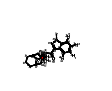 [2H]c1c([2H])c([2H])c2c(c(C(=O)NC3([2H])CC4CCCC(C3)N4C([2H])([2H])[2H])nn2C)c1[2H]